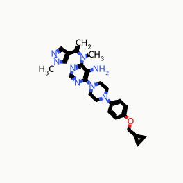 C=C(c1cnn(C)c1)N(C)c1ncnc(N2CCN(c3ccc(OCC4CC4)cc3)CC2)c1N